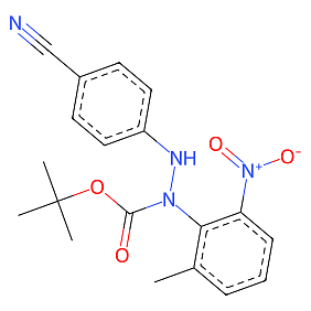 Cc1cccc([N+](=O)[O-])c1N(Nc1ccc(C#N)cc1)C(=O)OC(C)(C)C